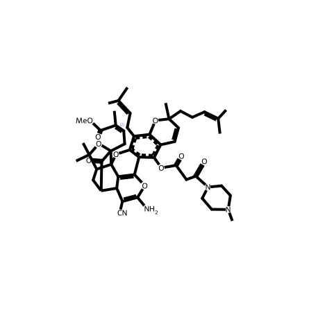 COC(=O)/C(C)=C\CC12OC(C)(C)C3CC(C1=O)C1C(C#N)=C(N)OC4=C1C32Oc1c(CC=C(C)C)c2c(c(OC(=O)CC(=O)N3CCN(C)CC3)c14)C=CC(C)(CCC=C(C)C)O2